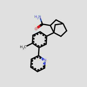 Cc1ccc(C23CCC(CC2C(N)=O)C3)cc1-c1ccccn1